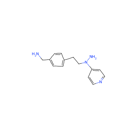 NCc1ccc(CCN(N)c2ccncc2)cc1